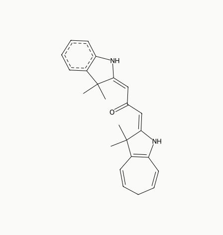 CC1(C)C2=C(C=CCC=C2)N/C1=C/C(=O)/C=C1/Nc2ccccc2C1(C)C